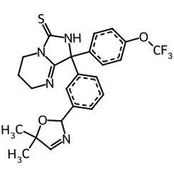 CC1(C)C=NC(c2cccc(C3(c4ccc(OC(F)(F)F)cc4)NC(=S)N4CCCN=C43)c2)O1